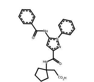 O=C(O)CC1(NC(=O)c2cc(NC(=O)c3ccccc3)n(-c3ccccc3)n2)CCCC1